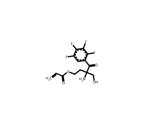 C=CC(=O)OCCC(N)(CO)C(=O)c1cc(F)c(F)c(F)c1F